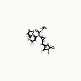 CC(C)(C)OC(=O)N(c1cc(Cl)nc2ccnn12)C1CC1/C=C1\CC(=O)NC1=O